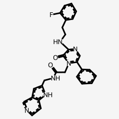 O=C(Cn1c(-c2ccccc2)cnc(NCCc2ccccc2F)c1=O)NCc1cc2cnccc2[nH]1